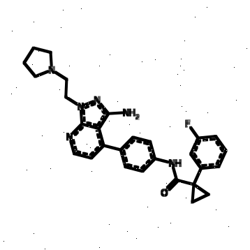 Nc1nn(CCN2CCCC2)c2nccc(-c3ccc(NC(=O)C4(c5cccc(F)c5)CC4)cc3)c12